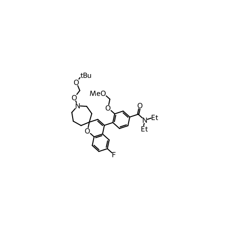 CCN(CC)C(=O)c1ccc(C2=CC3(CCCN(OCOC(C)(C)C)CC3)Oc3ccc(F)cc32)c(OCOC)c1